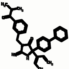 C=C/C(=C\C)C1(c2ccc(-c3ccccc3)cc2)NC(=N)N(Cc2cccc(C(=O)N(C)C)c2)C1=O